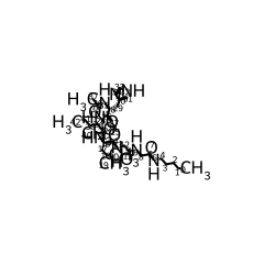 CCCCCNC(=O)CNC(=O)CNC(=O)[C@@H](CC(C)C)NC(=O)[C@H](NC(=O)[C@@H](Cc1c[nH]cn1)NC(C)=O)C(C)CC